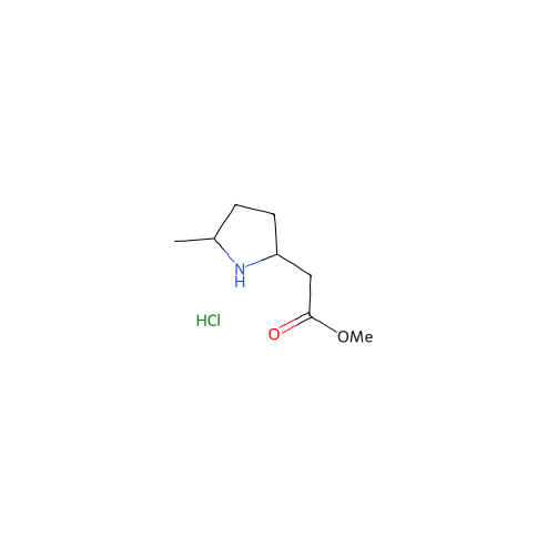 COC(=O)CC1CCC(C)N1.Cl